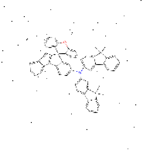 CC1(C)c2ccccc2-c2cc(N(c3ccc4c(c3)C(C)(C)c3ccccc3-4)c3ccc4c(c3)C3(c5ccccc5Oc5ccccc53)c3ccc5ccccc5c3-4)ccc21